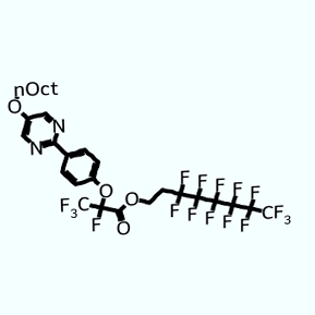 CCCCCCCCOc1cnc(-c2ccc(OC(F)(C(=O)OCCC(F)(F)C(F)(F)C(F)(F)C(F)(F)C(F)(F)C(F)(F)F)C(F)(F)F)cc2)nc1